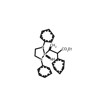 C=C(C(C(=O)OCC)c1ccccc1)P1(=N)N(c2ccccc2)CCN1c1ccccc1